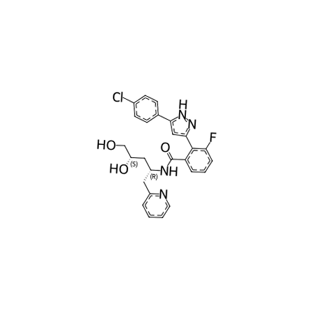 O=C(N[C@H](Cc1ccccn1)C[C@H](O)CO)c1cccc(F)c1-c1cc(-c2ccc(Cl)cc2)[nH]n1